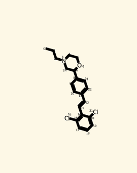 CCCN1CCOC(c2ccc(C=Cc3c(Cl)cccc3Cl)cc2)C1